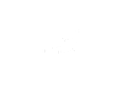 CCN(O)CC.CN(C)C.Cl